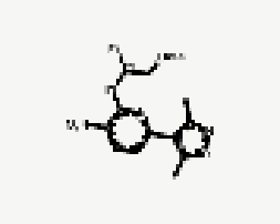 CC[C@@H](COC)Nc1nc(-c2c(C)noc2C)ccc1[N+](=O)[O-]